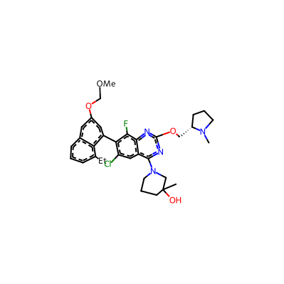 CCc1cccc2cc(OCOC)cc(-c3c(Cl)cc4c(N5CCCC(C)(O)C5)nc(OC[C@@H]5CCCN5C)nc4c3F)c12